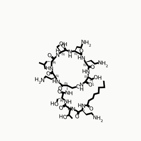 CCCCCCCC(=O)N[C@@H](CCN)C(=O)N[C@H](C(=O)N[C@H](CO)C(=O)N[C@H]1CCNC(=O)[C@H]([C@@H](C)O)NC(=O)[C@H](CCN)NC(=O)[C@H](CCN)NC(=O)[C@H](CO)NC(=O)[C@@H](CC(C)C)NC(=O)[C@H](CCN)NC1=O)C(C)O